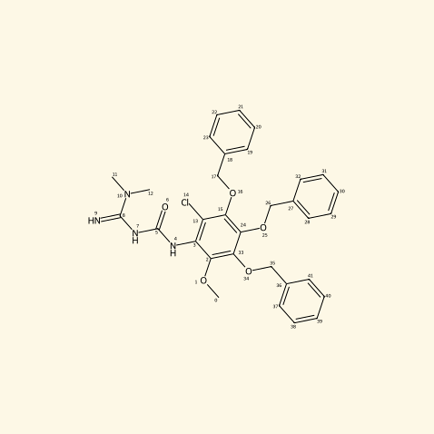 COc1c(NC(=O)NC(=N)N(C)C)c(Cl)c(OCc2ccccc2)c(OCc2ccccc2)c1OCc1ccccc1